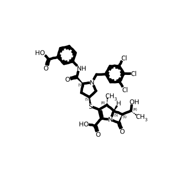 C[C@@H](O)[C@H]1C(=O)N2C(C(=O)O)=C(S[C@H]3C[C@@H](C(=O)Nc4cccc(C(=O)O)c4)N(Cc4cc(Cl)c(Cl)c(Cl)c4)C3)[C@H](C)[C@H]12